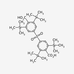 C[Si](C)(C)c1cc(S(=O)(=O)c2cc([Si](C)(C)C)c(C(=O)O)c([Si](C)(C)C)c2)cc([Si](C)(C)C)c1C(=O)O